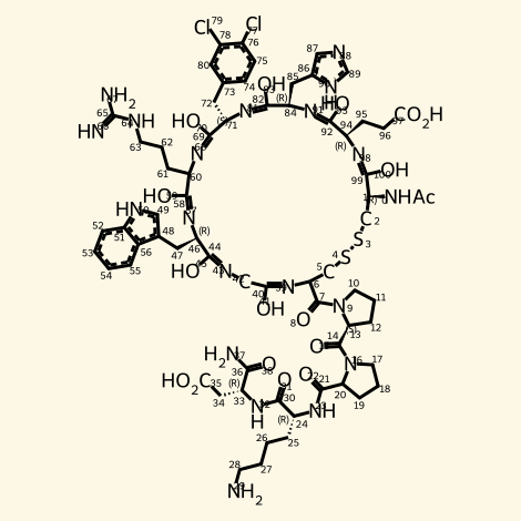 CC(=O)N[C@H]1CSSCC(C(=O)N2CCC[C@H]2C(=O)N2CCCC2C(=O)N[C@H](CCCCN)C(=O)N[C@H](CC(=O)O)C(N)=O)N=C(O)CN=C(O)[C@@H](Cc2c[nH]c3ccccc23)N=C(O)C(CCCNC(=N)N)N=C(O)[C@H](Cc2ccc(Cl)c(Cl)c2)N=C(O)[C@@H](Cc2cnc[nH]2)N=C(O)[C@@H](CCC(=O)O)N=C1O